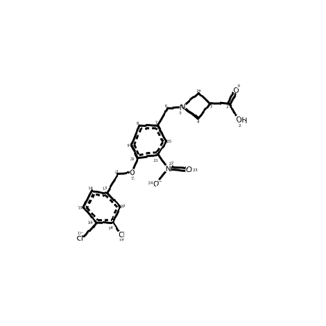 O=C(O)C1CN(Cc2ccc(OCc3ccc(Cl)c(Cl)c3)c([N+](=O)[O-])c2)C1